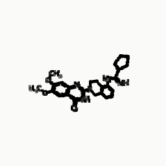 COc1cc2nc(N3CCc4c(cccc4NC(=N)C4CCCC4)C3)[nH]c(=O)c2cc1OC